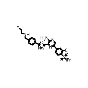 CC(C)S(=O)(=O)c1ccc(-c2cnc(N)c(-c3nnc(-c4ccc(CNCCF)cc4)o3)n2)cc1Cl